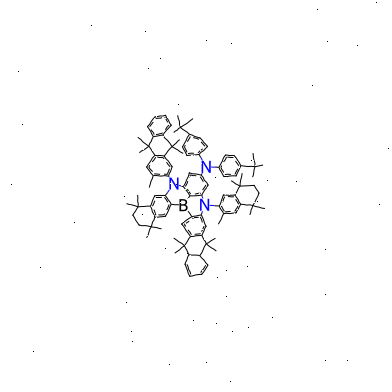 Cc1cc2c(cc1N1c3cc4c(cc3B3c5cc6c(cc5N(c5cc7c(cc5C)C(C)(C)c5ccccc5C7(C)C)c5cc(N(c7ccc(C(C)(C)C)cc7)c7ccc(C(C)(C)C)cc7)cc1c53)C(C)(C)CCC6(C)C)C(C)(C)C1C=CC=CC1C4(C)C)C(C)(C)CCC2(C)C